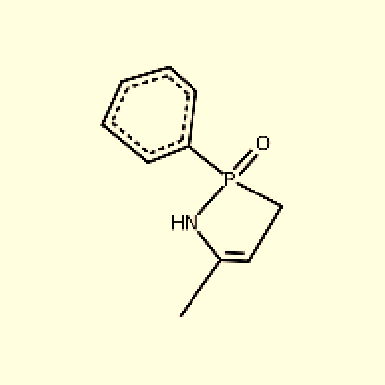 CC1=CCP(=O)(c2ccccc2)N1